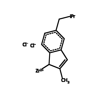 CC1=Cc2cc(CC(C)C)ccc2[CH]1[Zr+2].[Cl-].[Cl-]